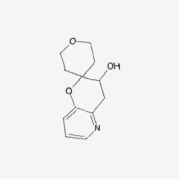 OC1Cc2ncccc2OC12CCOCC2